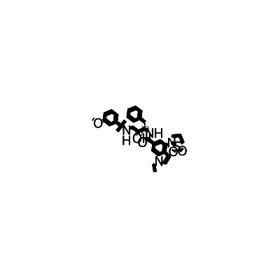 CCn1ccc2c(N3CCCS3(=O)=O)cc(C(=O)N[C@@H](Cc3ccccc3)[C@H](O)CNC(C)(C)c3cccc(OC)c3)cc21